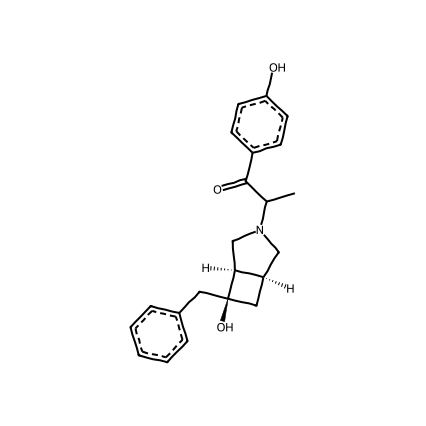 CC(C(=O)c1ccc(O)cc1)N1C[C@H]2C[C@](O)(Cc3ccccc3)[C@H]2C1